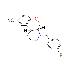 N#Cc1ccc2c(c1)[C@@H]1CCCN(Cc3ccc(Br)cc3)[C@H]1CO2